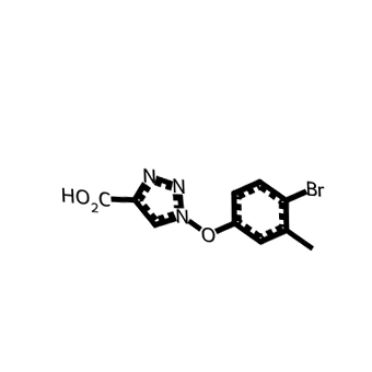 Cc1cc(On2cc(C(=O)O)nn2)ccc1Br